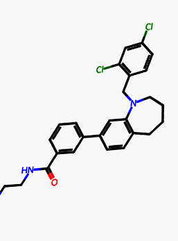 NCCNC(=O)c1cccc(-c2ccc3c(c2)N(Cc2ccc(Cl)cc2Cl)CCCC3)c1